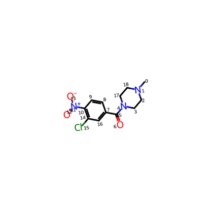 CN1CCN(C(=O)c2ccc([N+](=O)[O-])c(Cl)c2)CC1